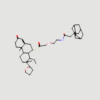 CC12CCC(=O)C=C1C[C@@H](SC(=O)COCCNC(=O)CC13CC4CC(CC(C4)C1)C3)C1C2CCC2(C)C1CC[C@@]21CCCO1